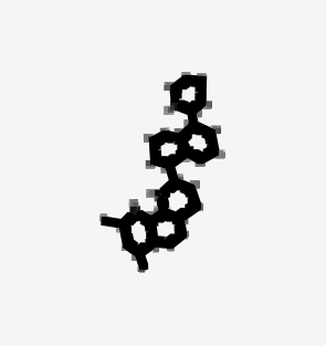 Cc1cc(C)c2ccc3ccc(-c4cccc5c(-c6ccccn6)cccc45)nc3c2n1